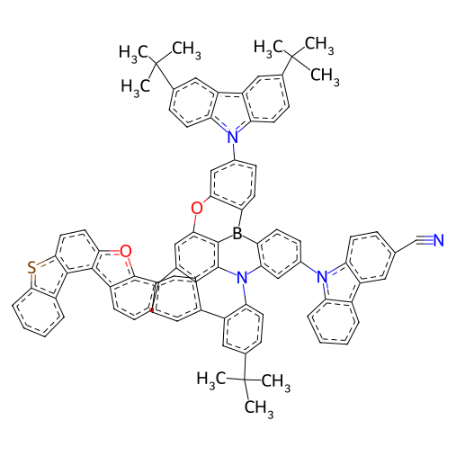 CC(C)(C)c1ccc(N2c3cc(-n4c5ccccc5c5cc(C#N)ccc54)ccc3B3c4ccc(-n5c6ccc(C(C)(C)C)cc6c6cc(C(C)(C)C)ccc65)cc4Oc4cc(-c5cccc6c5oc5ccc7sc8ccccc8c7c56)cc2c43)c(-c2ccccc2)c1